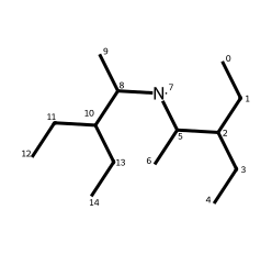 CCC(CC)C(C)[N]C(C)C(CC)CC